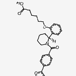 [2H]C1(c2ccccc2OCCCCCC(=O)O)CCCCN1C(=O)c1ccc(-c2ccco2)cc1